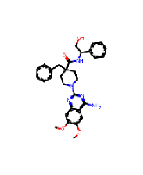 COc1cc2nc(N3CCC(Cc4ccccc4)(C(=O)NC(CO)c4ccccc4)CC3)nc(N)c2cc1OC